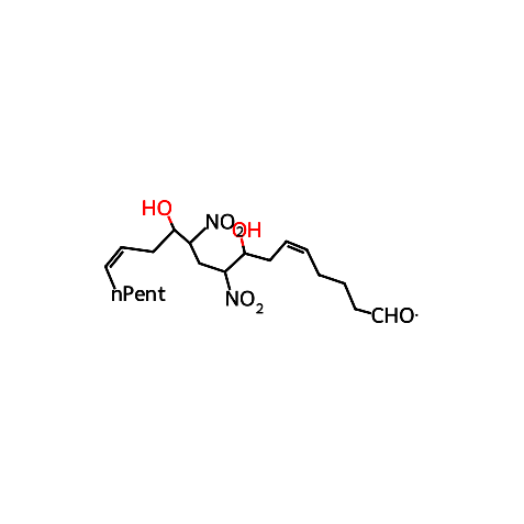 CCCCC/C=C\CC(O)C(CC(C(O)C/C=C\CCC[C]=O)[N+](=O)[O-])[N+](=O)[O-]